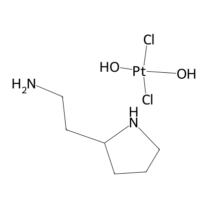 NCCC1CCCN1.[OH][Pt]([OH])([Cl])[Cl]